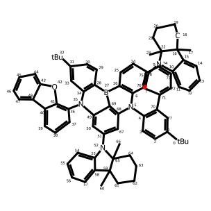 CC(C)(C)c1ccc(N2c3cc(N4c5ccccc5C5(C)CCCCC45C)ccc3B3c4ccc(C(C)(C)C)cc4N(c4cccc5c4oc4ccccc45)c4cc(N5c6ccccc6C6(C)CCCCC56C)cc2c43)c(-c2ccccc2)c1